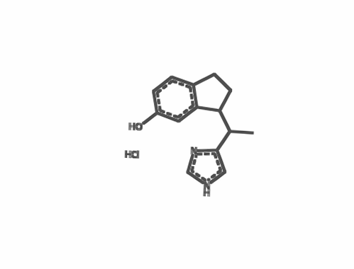 CC(c1c[nH]cn1)C1CCc2ccc(O)cc21.Cl